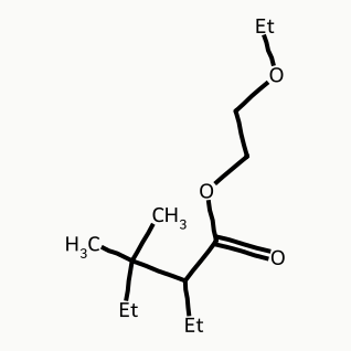 CCOCCOC(=O)C(CC)C(C)(C)CC